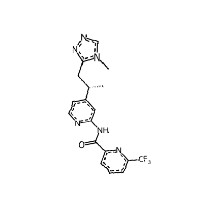 C[C@@H](Cc1nncn1C)c1ccnc(NC(=O)c2cccc(C(F)(F)F)n2)c1